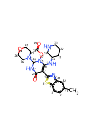 Cc1ccc2sc(C3=C(N[C@@H]4CCCNC4)N(OC=O)C(N4CCOCC4)NC3=O)nc2c1